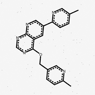 Cc1ccc(-c2cnc3ncnc(OCc4ccc(C)nc4)c3c2)nc1